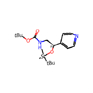 CC(C)(C)OC(=O)NC[C@H](O[Si](C)(C)C(C)(C)C)c1ccncc1